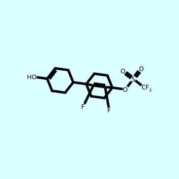 O=S(=O)(OC12CCC(C3CC=C(O)CC3)(CC1)C(F)=C2F)C(F)(F)F